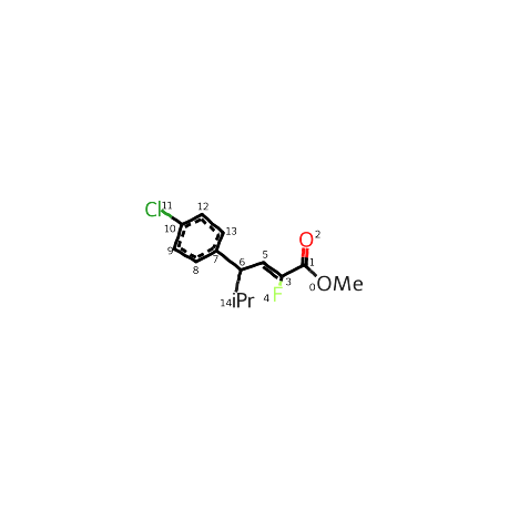 COC(=O)C(F)=CC(c1ccc(Cl)cc1)C(C)C